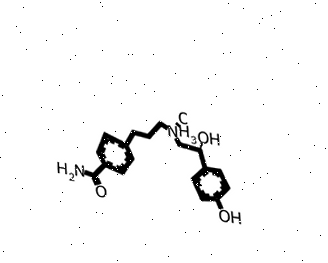 CN(CCCc1ccc(C(N)=O)cc1)C[C@H](O)c1ccc(O)cc1